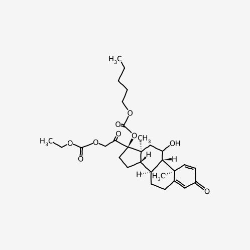 CCCCCOC(=O)O[C@]1(C(=O)COC(=O)OCC)CC[C@H]2[C@@H]3CCC4=CC(=O)C=C[C@]4(C)[C@H]3C(O)C[C@@]21C